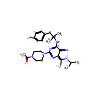 CC(=O)N1CCN(C2=N/C(=C(\C)NC(C)C)C(=N)C(NC(C)(C)Cc3ccc(Cl)cc3)=N2)CC1